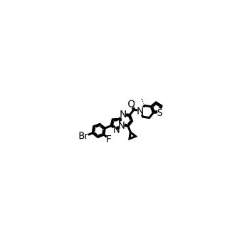 C[C@@H]1c2ccsc2CCN1C(=O)c1cc(C2CC2)n2nc(-c3ccc(Br)cc3F)cc2n1